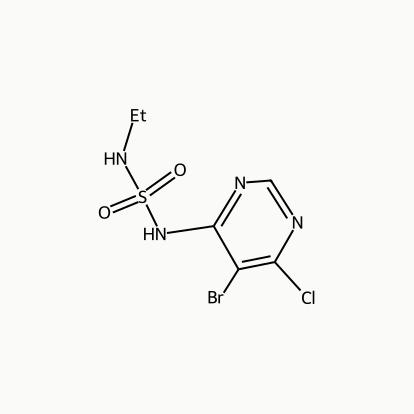 CCNS(=O)(=O)Nc1ncnc(Cl)c1Br